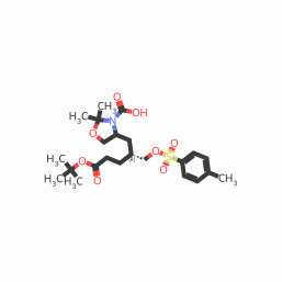 Cc1ccc(S(=O)(=O)OC[C@H](CCC(=O)OC(C)(C)C)CC2COC(C)(C)N2C(=O)O)cc1